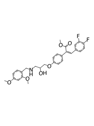 COC(=O)C(=Cc1ccc(F)c(F)c1)c1ccc(OCC(O)CNCc2ccc(OC)cc2OC)cc1